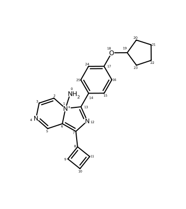 N[N+]12C=CN=CC1=C(C1=CC=C1)N=C2c1ccc(OC2CCCC2)cc1